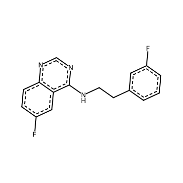 Fc1cccc(CCNc2ncnc3ccc(F)cc23)c1